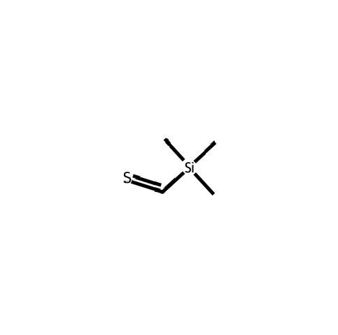 C[Si](C)(C)C=S